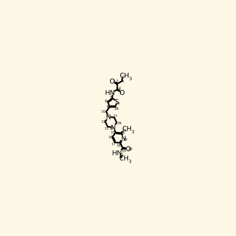 CCC(=O)C(=O)Nc1cc(CN2CCN(c3ccc(C(=O)NC)nc3C)CC2)cs1